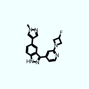 Cn1cc(-c2ccc3[nH]nc(-c4ccnc(N5CC(F)C5)c4)c3c2)cn1